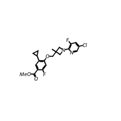 COC(=O)c1cc(C2CC2)c(OCC2(C)CN(c3ncc(Cl)cc3F)C2)cc1F